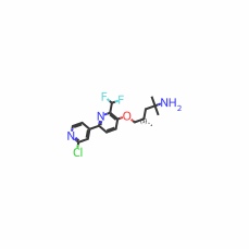 C[C@H](COc1ccc(-c2ccnc(Cl)c2)nc1C(F)F)CC(C)(C)N